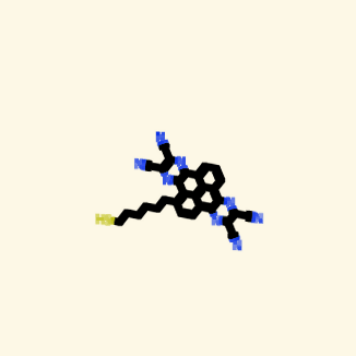 N#Cc1nc2c3cccc4c5nc(C#N)c(C#N)nc5c5c(CCCCCCS)ccc(c2nc1C#N)c5c34